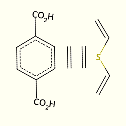 C=C.C=C.C=CSC=C.O=C(O)c1ccc(C(=O)O)cc1